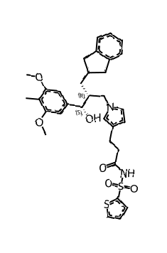 COc1cc([C@@H](O)[C@H](CC2Cc3ccccc3C2)Cn2ccc(CCC(=O)NS(=O)(=O)c3cccs3)c2)cc(OC)c1C